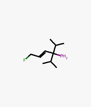 CC(C)C(P)(C=CCF)C(C)C